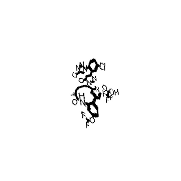 C[C@@H]1CCC[C@H](n2cnc(-c3cc(Cl)ccc3-n3cc(Cl)nn3)cc2=O)c2cc(ccn2)-c2ccc(OC(F)F)cc2NC1=O.O=C(O)C(F)(F)F